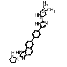 C[Si]1(C)CN[C@H](c2ncc(-c3ccc(-c4ccc5c(ccc6nc([C@@H]7CCCN7)[nH]c65)c4)cc3)[nH]2)C1